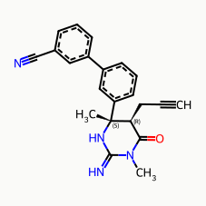 C#CC[C@H]1C(=O)N(C)C(=N)N[C@]1(C)c1cccc(-c2cccc(C#N)c2)c1